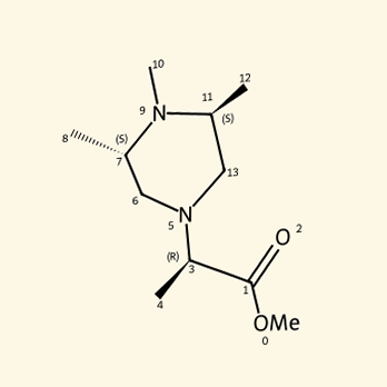 COC(=O)[C@@H](C)N1C[C@H](C)N(C)[C@@H](C)C1